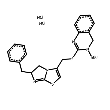 CCCCN1Cc2ccccc2N=C1SCC1=CSC2=NC(Cc3ccccc3)CN12.Cl.Cl